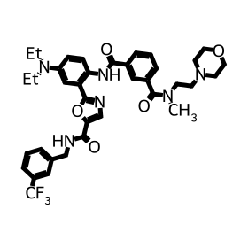 CCN(CC)c1ccc(NC(=O)c2cccc(C(=O)N(C)CCN3CCOCC3)c2)c(-c2ncc(C(=O)NCc3cccc(C(F)(F)F)c3)o2)c1